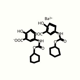 O=C(Nc1ccc(O)c(C(=O)[O-])c1)OC1CCCCC1.O=C(Nc1ccc(O)c(C(=O)[O-])c1)OC1CCCCC1.[Ba+2]